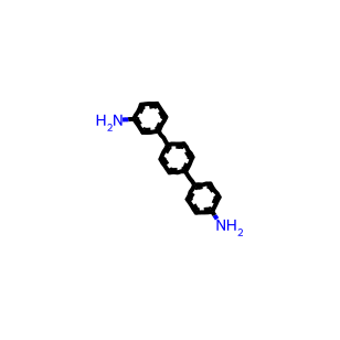 Nc1ccc(-c2ccc(-c3cccc(N)c3)cc2)cc1